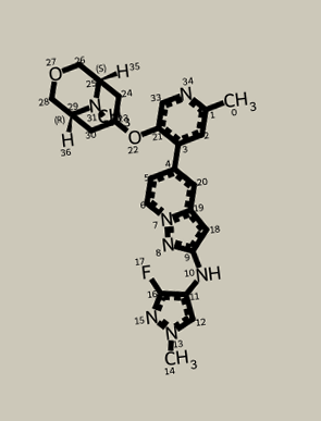 Cc1cc(-c2ccn3nc(Nc4cn(C)nc4F)cc3c2)c(OC2C[C@H]3COC[C@@H](C2)N3C)cn1